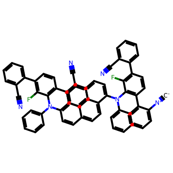 [C-]#[N+]c1ccccc1-c1ccc(-c2ccccc2C#N)c(F)c1N(c1ccccc1)c1ccc2ccc3c(N(c4ccccc4)c4c(-c5ccccc5C#N)ccc(-c5ccccc5C#N)c4F)ccc4ccc1c2c43